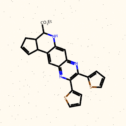 CCOC(=O)C1Nc2cc3nc(-c4cccs4)c(-c4cccs4)nc3cc2C2C=CCC12